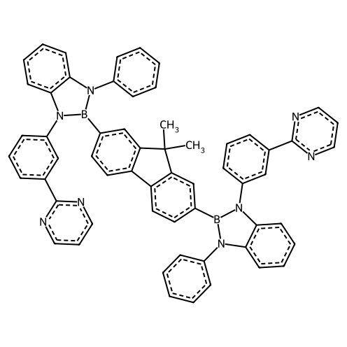 CC1(C)c2cc(B3N(c4ccccc4)c4ccccc4N3c3cccc(-c4ncccn4)c3)ccc2-c2ccc(B3N(c4ccccc4)c4ccccc4N3c3cccc(-c4ncccn4)c3)cc21